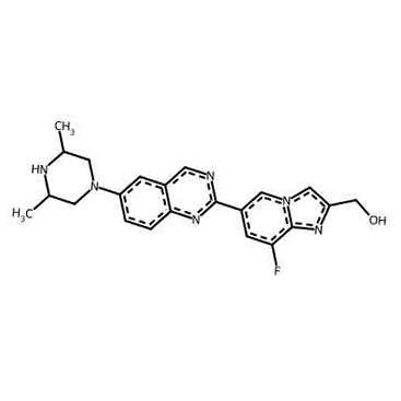 CC1CN(c2ccc3nc(-c4cc(F)c5nc(CO)cn5c4)ncc3c2)CC(C)N1